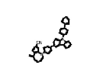 C=C1/C=C\C=C/N(c2ccc(-c3ccc4c(c3)c3ccccc3n4-c3ccc(-c4ccccc4)cc3)cc2)c2cc(C#N)ccc21